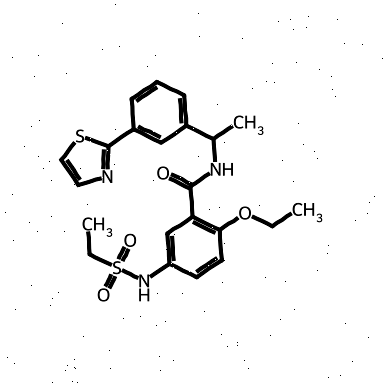 CCOc1ccc(NS(=O)(=O)CC)cc1C(=O)NC(C)c1cccc(-c2nccs2)c1